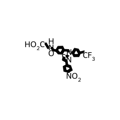 O=C(O)CCNC(=O)c1ccc(CN(c2ccc(CC(F)(F)F)cc2)c2nc(-c3ccc([N+](=O)[O-])cc3)cs2)cc1